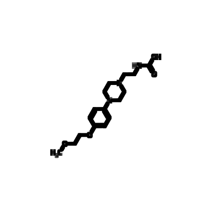 COCCOc1ccc(N2CCN(CCNC(=O)O)CC2)cc1